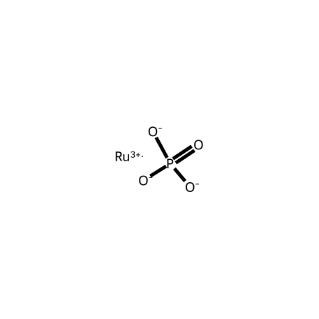 O=P([O-])([O-])[O-].[Ru+3]